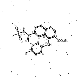 CCOC(=O)c1cnc2ccc(C(=O)NS(C)(=O)=O)cc2c1Nc1ccc(C)cc1